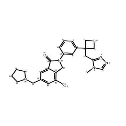 Cn1cnnc1CC1(c2cccc(N3Cc4c(cc(CN5CCCC5)cc4C(F)(F)F)C3=O)c2)COC1